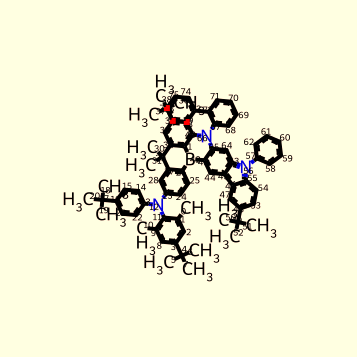 Cc1cc(C(C)(C)C)cc(C)c1N(c1ccc(C(C)(C)C)cc1)c1ccc2c(c1)C(C)(C)c1cc(C(C)(C)C)cc3c1B2c1cc2c4cc(C(C)(C)C)ccc4n(-c4ccccc4)c2cc1N3c1ccccc1-c1ccccc1